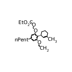 C=COc1cc(CCCCC)cc(OCOC(=O)OCC)c1[C@@H]1C=C(C)CCC1